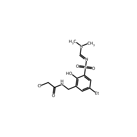 CCc1cc(CNC(=O)CCl)c(O)c(S(=O)(=O)N=CN(C)C)c1